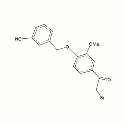 COc1cc(C(=O)CBr)ccc1OCc1cccc(C#N)c1